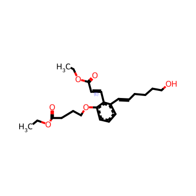 CCOC(=O)/C=C/c1c(C=CCCCCO)cccc1OCCCC(=O)OCC